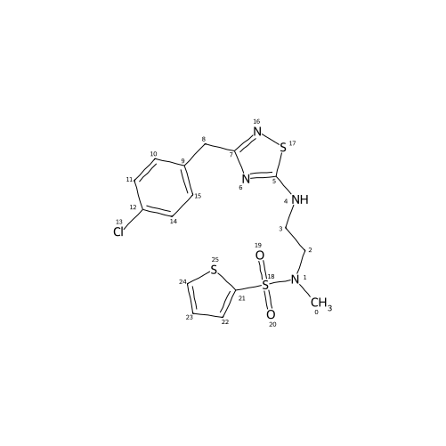 CN(CCNc1nc(Cc2ccc(Cl)cc2)ns1)S(=O)(=O)c1cccs1